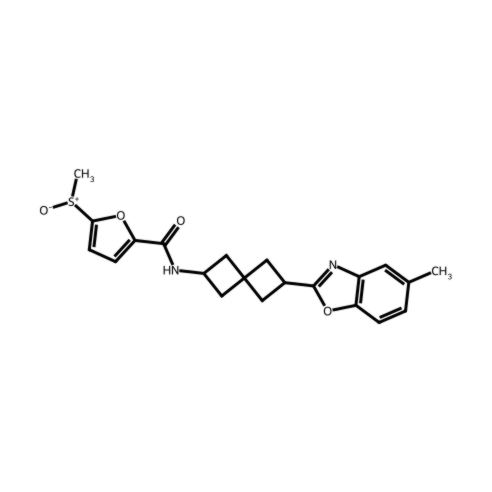 Cc1ccc2oc(C3CC4(CC(NC(=O)c5ccc([S+](C)[O-])o5)C4)C3)nc2c1